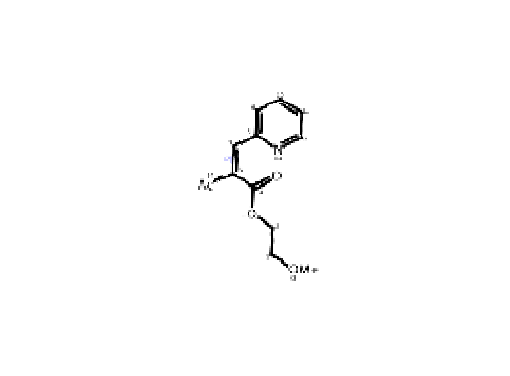 COCCOC(=O)/C(=C\c1ccccn1)C(C)=O